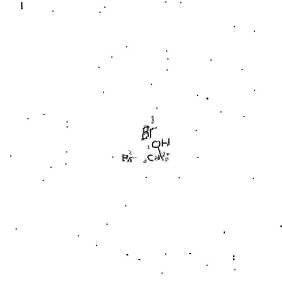 CO.[Br-].[Br-].[Ca+2]